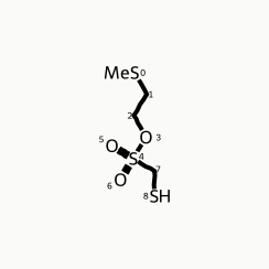 CSCCOS(=O)(=O)CS